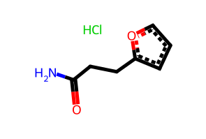 Cl.NC(=O)CCc1ccco1